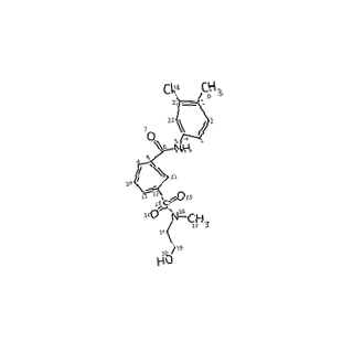 Cc1ccc(NC(=O)c2cccc(S(=O)(=O)N(C)CCO)c2)cc1Cl